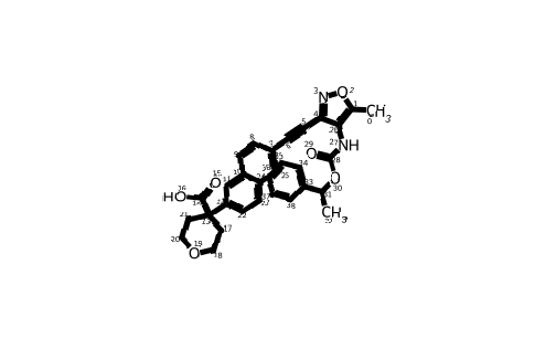 Cc1onc(C#Cc2ccc3cc(C4(C(=O)O)CCOCC4)ccc3c2)c1NC(=O)OC(C)c1ccccc1